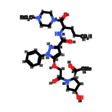 CCOC(=O)N1CCN(C(=O)C(CCC(=O)O)NC(=O)c2cc(OCC(=O)N3C[C@@H](O)C[C@H]3C(=O)OC)n(-c3ccccc3)n2)CC1